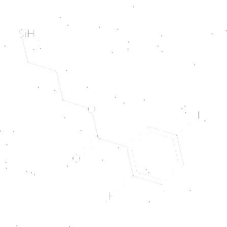 O=C(OCCC[SiH3])c1cc(I)ccc1F